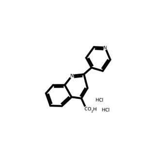 Cl.Cl.O=C(O)c1cc(-c2ccncc2)nc2ccccc12